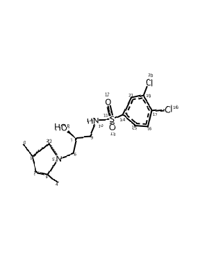 CC1CC(C)N(C[C@@H](O)CNS(=O)(=O)c2ccc(Cl)c(Cl)c2)C1